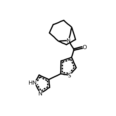 O=C(c1csc(-c2cn[nH]c2)c1)N1C2CCCC1CC2